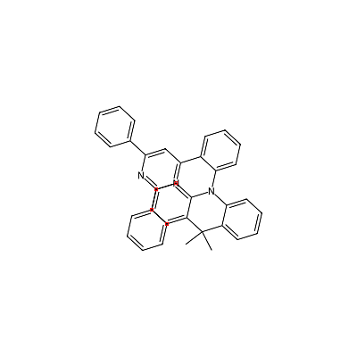 CC1(C)c2ccccc2N(c2ccccc2-c2cc(-c3ccccc3)nc(-c3ccccc3)n2)c2ccccc21